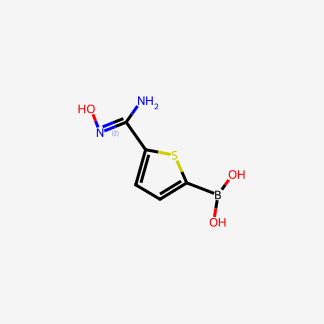 N/C(=N\O)c1ccc(B(O)O)s1